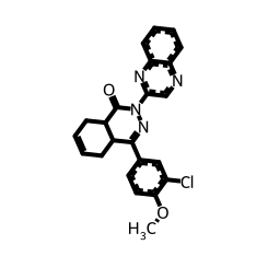 COc1ccc(C2=NN(c3cnc4ccccc4n3)C(=O)C3CC=CCC23)cc1Cl